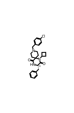 O=C1[C@H](Cc2ccccc2)NC(=O)C2(CCN(Cc3ccc(Cl)cc3)CC2)N1C1CCC1